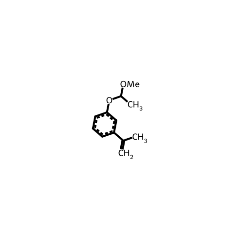 C=C(C)c1cccc(OC(C)OC)c1